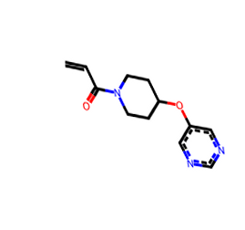 C=CC(=O)N1CCC(Oc2cncnc2)CC1